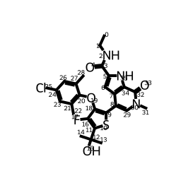 CCNC(=O)c1cc2c(-c3sc(C(C)(C)O)c(F)c3Oc3c(C)cc(Cl)cc3C)cn(C)c(=O)c2[nH]1